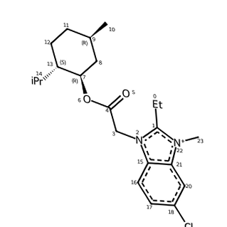 CCc1n(CC(=O)O[C@@H]2C[C@H](C)CC[C@H]2C(C)C)c2ccc(Cl)cc2[n+]1C